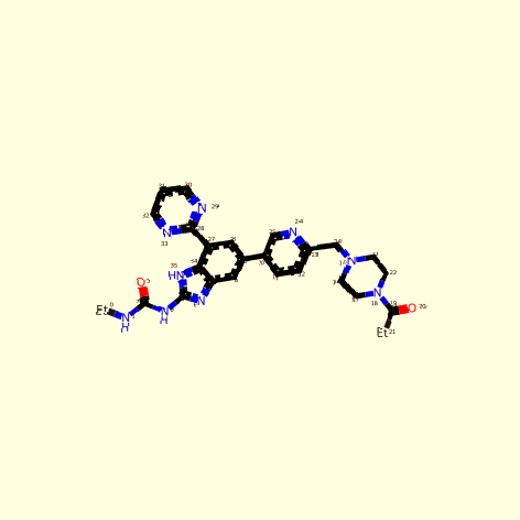 CCNC(=O)Nc1nc2cc(-c3ccc(CN4CCN(C(=O)CC)CC4)nc3)cc(-c3ncccn3)c2[nH]1